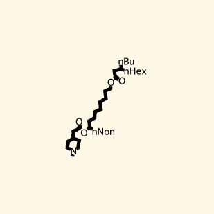 CCCCCCCCCC(CCCCCCCCOC(=O)CC(CCCC)CCCCCC)OC(=O)CC1CCN(C)CC1